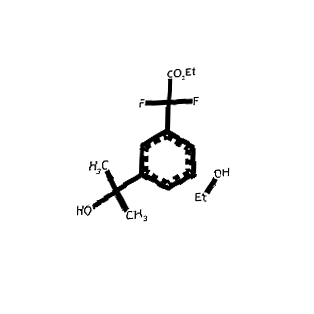 CCO.CCOC(=O)C(F)(F)c1cccc(C(C)(C)O)c1